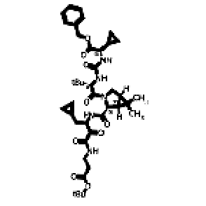 CC(C)(C)OC(=O)CCNC(=O)C(=O)C(CC1CC1)NC(=O)[C@@H]1[C@@H]2[C@H](CN1C(=O)[C@@H](NC(=O)N[C@H](C(=O)OCc1ccccc1)C1CC1)C(C)(C)C)C2(C)C